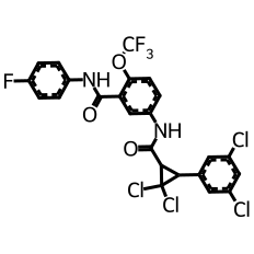 O=C(Nc1ccc(F)cc1)c1cc(NC(=O)C2C(c3cc(Cl)cc(Cl)c3)C2(Cl)Cl)ccc1OC(F)(F)F